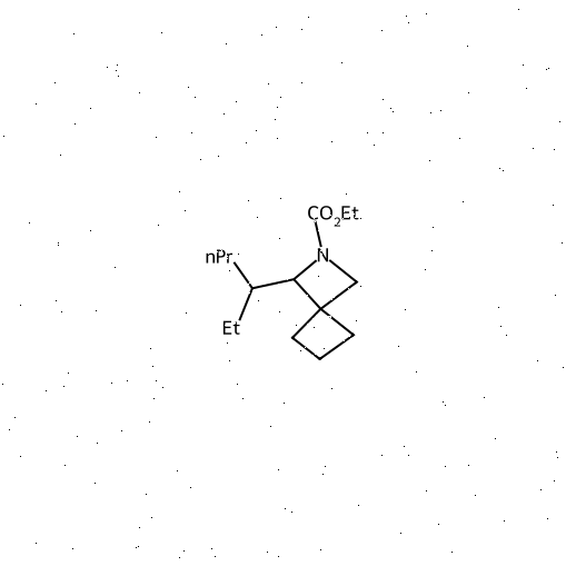 CCCC(CC)C1N(C(=O)OCC)CC12CCC2